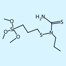 CCCN(SCCC[Si](OC)(OC)OC)C(N)=S